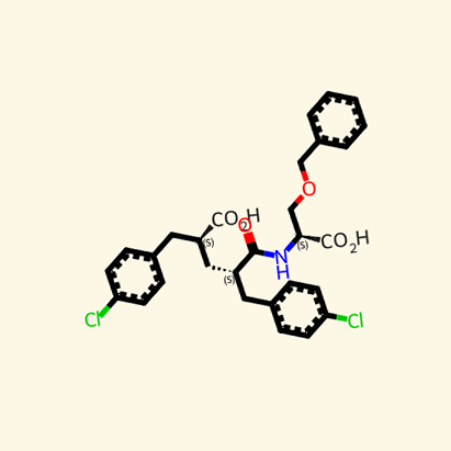 O=C(O)[C@H](Cc1ccc(Cl)cc1)C[C@@H](Cc1ccc(Cl)cc1)C(=O)N[C@@H](COCc1ccccc1)C(=O)O